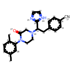 Cc1ccc(C)c(N2CCN(C(Cc3ccc(C#N)cc3)c3ncc[nH]3)CC2=O)c1